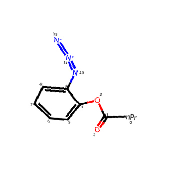 CCCC(=O)Oc1ccccc1N=[N+]=[N-]